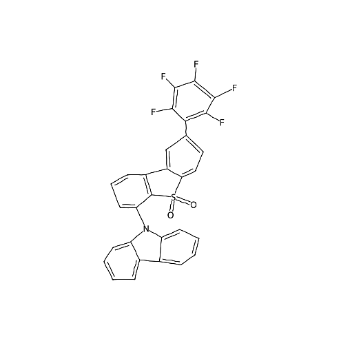 O=S1(=O)c2ccc(-c3c(F)c(F)c(F)c(F)c3F)cc2-c2cccc(-n3c4ccccc4c4ccccc43)c21